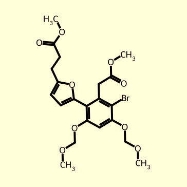 COCOc1cc(OCOC)c(-c2ccc(CCC(=O)OC)o2)c(CC(=O)OC)c1Br